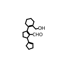 O=CC1=C(C2=C(CO)CCCC2)CCC1C1=CCCC1